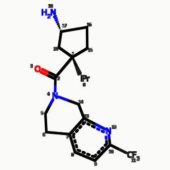 CC(C)[C@]1(C(=O)N2CCc3ccc(C(F)(F)F)nc3C2)CC[C@@H](N)C1